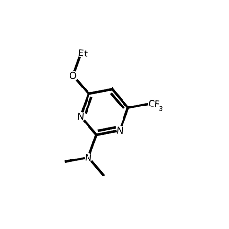 CCOc1[c]c(C(F)(F)F)nc(N(C)C)n1